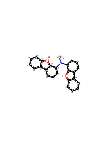 BN(c1cccc2c1oc1ccccc12)c1cccc2c1oc1ccccc12